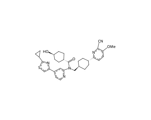 COc1ccc([C@H]2CC[C@H](CN(c3cc(-c4csc(C5CC5)n4)ccn3)C(=O)[C@H]3CC[C@H](O)CC3)CC2)nc1C#N